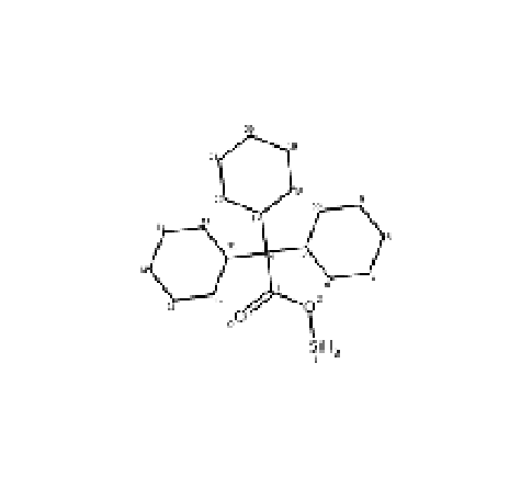 O=C(O[SiH3])C(C1CCCCC1)(C1CCCCC1)C1CCCCC1